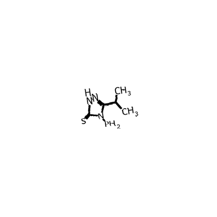 CC(C)c1n[nH]c(=S)n1P